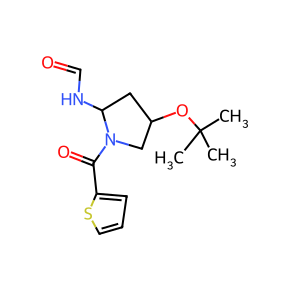 CC(C)(C)OC1CC(NC=O)N(C(=O)c2cccs2)C1